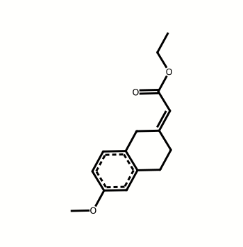 CCOC(=O)/C=C1/CCc2cc(OC)ccc2C1